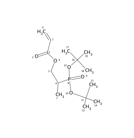 C=CC(=O)OCC(C)P(=O)(OC(C)(C)C)OC(C)(C)C